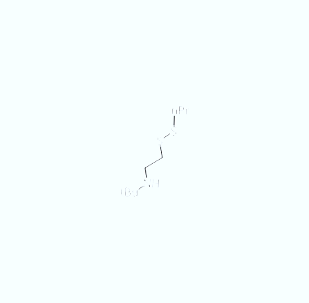 CCCSSCCNC(C)(C)C